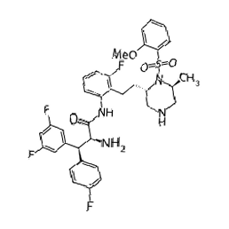 COc1ccccc1S(=O)(=O)N1[C@@H](CCc2c(F)cccc2NC(=O)[C@@H](N)[C@@H](c2ccc(F)cc2)c2cc(F)cc(F)c2)CNC[C@@H]1C